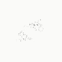 CNc1nc(N)nc2c1ncn2[C@H]1C=C[C@@H](COP(=O)(NC(C)C(=O)O)Oc2ccccc2)C1